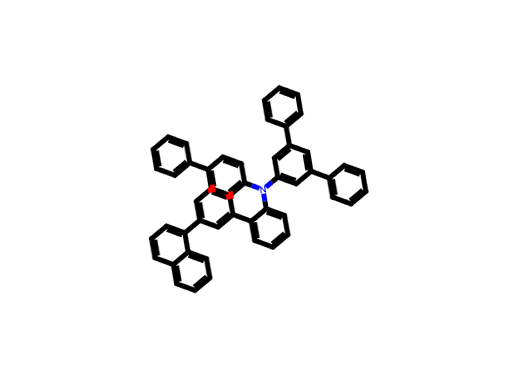 c1ccc(-c2ccc(N(c3cc(-c4ccccc4)cc(-c4ccccc4)c3)c3ccccc3-c3cccc(-c4cccc5ccccc45)c3)cc2)cc1